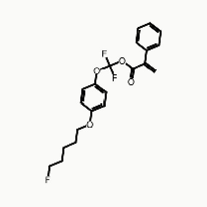 C=C(C(=O)OC(F)(F)Oc1ccc(OCCCCCF)cc1)c1ccccc1